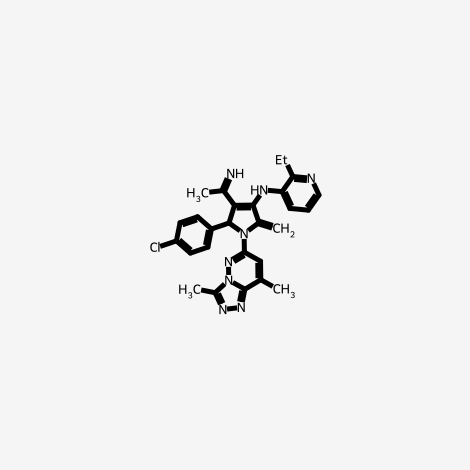 C=C1C(Nc2cccnc2CC)=C(C(C)=N)C(c2ccc(Cl)cc2)N1c1cc(C)c2nnc(C)n2n1